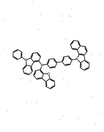 c1ccc(-n2c3ccccc3c3c(N(c4ccc(-c5ccc(-n6c7ccccc7c7ccc8ccccc8c76)cc5)cc4)c4cccc5c4oc4ccccc45)cccc32)cc1